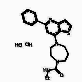 CCNC(=O)N1CCCN(c2cc(-c3ccccc3)nc3ccsc23)CC1.Cl.Cl